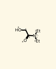 CC[N+](CC)C(=O)CO